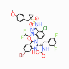 COc1ccc(CC2(S(=O)(=O)Nc3nn(CC(F)F)c4c(-n5c([C@H](Cc6cc(F)cc(F)c6)NC(=O)O)nc6cc(Br)ccc6c5=O)ccc(Cl)c34)CC2)cc1